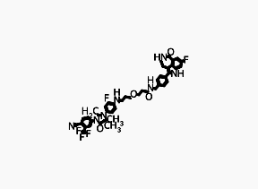 C=C1N(c2ccc(C#N)c(C(F)(F)F)c2)C(=O)C(C)(C)N1c1ccc(NCCCOCCC(=O)NCc2ccc(-c3[nH]c4cc(F)cc5c4c3CCNC5=O)cc2)c(F)c1